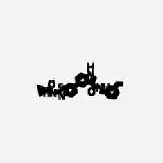 CCc1cccc(CNC(=O)c2c[nH]c3ccc(-c4ccc5nc(NC(=O)C6CC6)sc5c4)cc23)c1